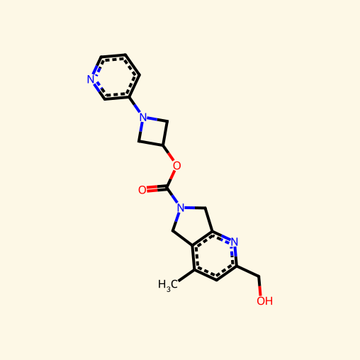 Cc1cc(CO)nc2c1CN(C(=O)OC1CN(c3cccnc3)C1)C2